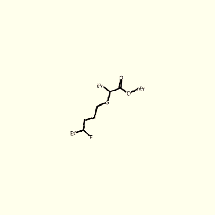 CCCOC(=O)C(SCCCC(F)CC)C(C)C